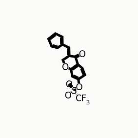 O=C1C(=Cc2ccccc2)COc2cc(OS(=O)(=O)C(F)(F)F)ccc21